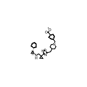 COC(=O)c1ccc(CN2CCC(Cc3nc(C4(CN[C@H]5C[C@@H]5c5ccccc5)CC4)no3)CC2)cc1